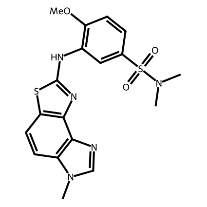 COc1ccc(S(=O)(=O)N(C)C)cc1Nc1nc2c(ccc3c2ncn3C)s1